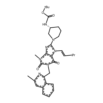 Cc1cc2ccccc2c(Cn2c(=O)c3c(nc(N4CCC[C@@H](NC(=O)OC(C)(C)C)C4)n3C=CC(C)C)n(C)c2=O)n1